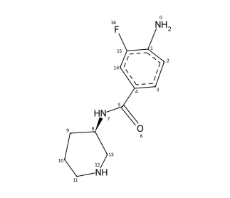 Nc1ccc(C(=O)N[C@@H]2CCCNC2)cc1F